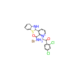 NC(=O)c1c(C2NC3CC=CC=C3S2)ccc[n+]1CC(=O)c1ccc(Cl)cc1Cl.[Br-]